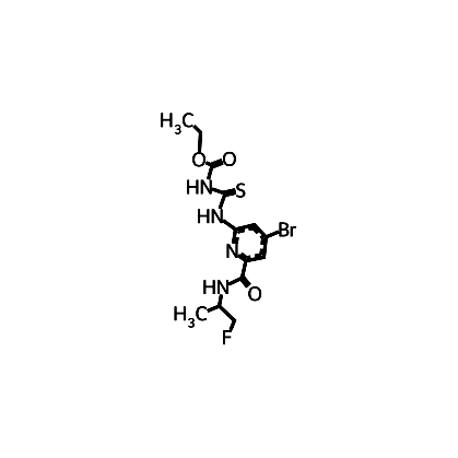 CCOC(=O)NC(=S)Nc1cc(Br)cc(C(=O)NC(C)CF)n1